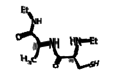 CCNC(=O)[C@H](C)NC(=O)[C@H](CS)NCC